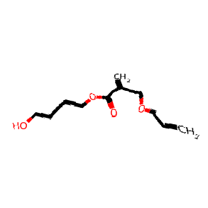 C=CCOCC(=C)C(=O)OCCCCO